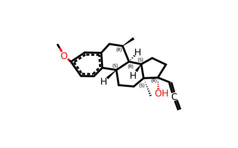 C=C=C[C@]1(O)CC[C@H]2[C@@H]3[C@H](C)Cc4cc(OC)ccc4[C@H]3CC[C@@]21C